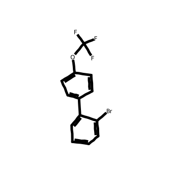 FC(F)(F)Oc1ccc(-c2ccccc2Br)cc1